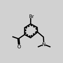 CC(=O)c1cc(Br)cc(CN(C)C)c1